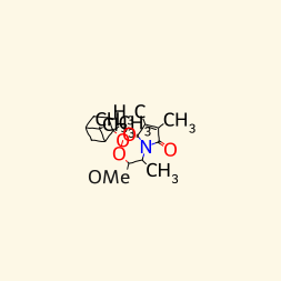 COC(OOC1(C)CCC2CC1C2(C)C)C(C)N1C(=O)C(C)=C(C)C1=O